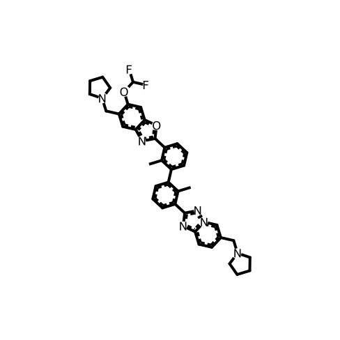 Cc1c(-c2nc3ccc(CN4CCCC4)cn3n2)cccc1-c1cccc(-c2nc3cc(CN4CCCC4)c(OC(F)F)cc3o2)c1C